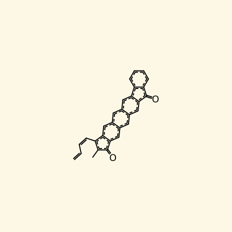 C=C/C=C\c1c(C)c(=O)c2cc3cc4cc5c(=O)c6ccccc6c5cc4cc3cc12